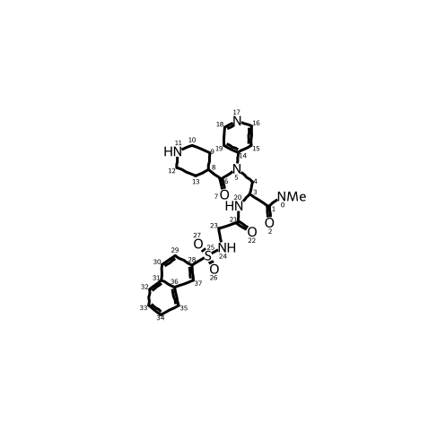 CNC(=O)C(CN(C(=O)C1CCNCC1)c1ccncc1)NC(=O)CNS(=O)(=O)c1ccc2ccccc2c1